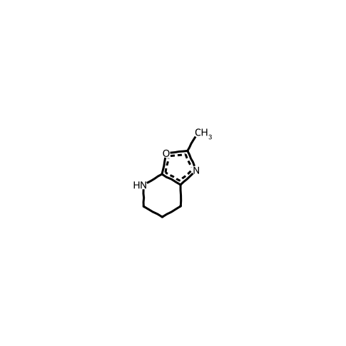 Cc1nc2c(o1)NCCC2